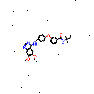 CCC(C)(C)NC(=O)c1cccc(Oc2ccc(CNc3ncnc4cc(OC)c(OC)cc34)cc2)c1